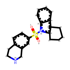 O=S(=O)(c1ccc2c(c1)CNCC2)n1c2c(c3ccccc31)CCCC2